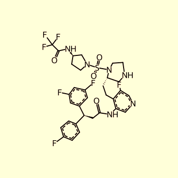 O=C(C[C@@H](c1ccc(F)cc1)c1cc(F)cc(F)c1)Nc1cncc(F)c1CC[C@H]1CNCCN1S(=O)(=O)N1CC[C@@H](NC(=O)C(F)(F)F)C1